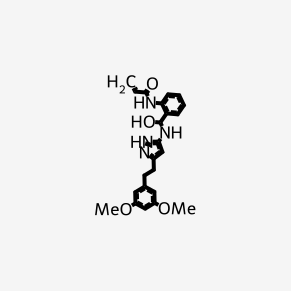 C=CC(=O)Nc1ccccc1C(O)Nc1cc(CCc2cc(OC)cc(OC)c2)n[nH]1